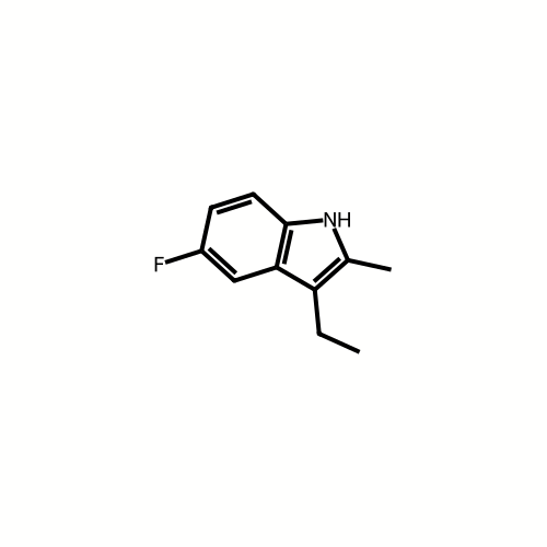 CCc1c(C)[nH]c2ccc(F)cc12